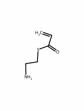 C=CC(=O)SCCN